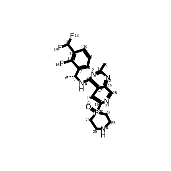 Cc1nc(N[C@H](C)c2cccc(C(F)F)c2F)c2cc(P3(=O)CCNCC3)ncc2n1